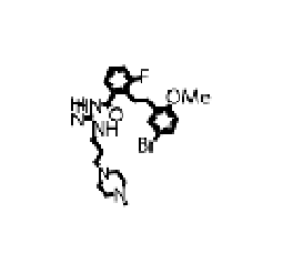 COc1ccc(Br)cc1CCc1c(F)cccc1C(=O)NC(=N)NCCCN1CCN(C)CC1